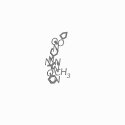 Cc1ncccc1Oc1ncnc2c1cnn2C1CCN(C(=O)OC2CCCC2)CC1